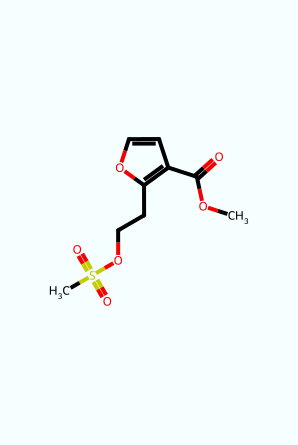 COC(=O)c1ccoc1CCOS(C)(=O)=O